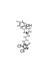 Cc1ccc(C2(O)CCN(CCCCn3c(C)nc(Cl)c3Cl)CC2)cc1